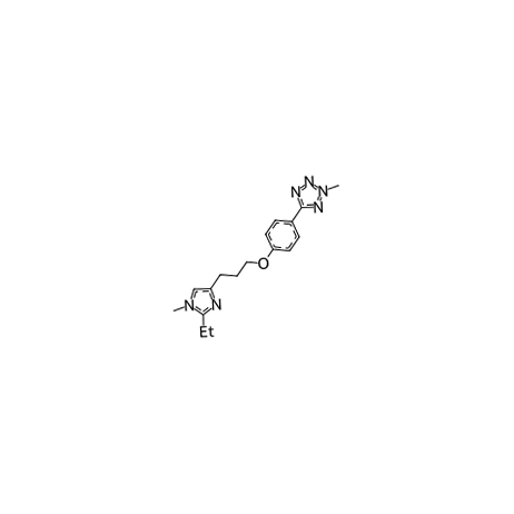 CCc1nc(CCCOc2ccc(-c3nnn(C)n3)cc2)cn1C